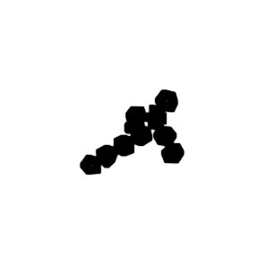 c1ccc(-c2ccc(-c3nc(-c4ccccc4)nc(-c4cccc5oc6c(-c7ccc(-c8ccc(C9CCCC9)cc8)cc7)cccc6c45)n3)cc2)cc1